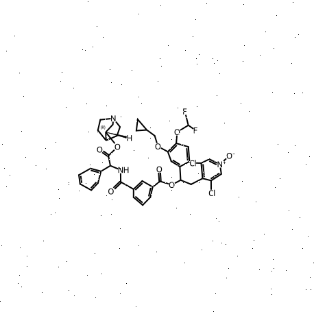 O=C(NC(C(=O)O[C@H]1CN2CCC1CC2)c1ccccc1)c1cccc(C(=O)OC(Cc2c(Cl)c[n+]([O-])cc2Cl)c2ccc(OC(F)F)c(OCC3CC3)c2)c1